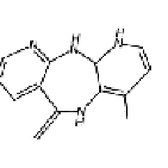 C=C1NC2=C(C)C=CNC2Nc2ncccc21